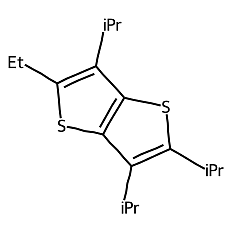 CCc1sc2c(C(C)C)c(C(C)C)sc2c1C(C)C